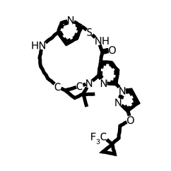 CC1(C)CC2CCCCNc3ccc(nc3)SNC(=O)c3ccc(-n4ccc(OCCC5(C(F)(F)F)CC5)n4)nc3N1C2